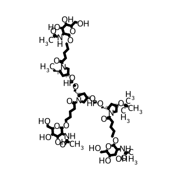 CC[C@@H]1C[C@@H](OPOC[C@@H]2C[C@@H](OPOC[C@@H]3C[C@@H](OC(C)(C)C)CN3C(=O)CCCCOC3OC(CO)C(O)C(O)C3NC(C)=O)CN2C(=O)CCCCOC2OC(CO)C(O)C(O)C2NC(C)=O)CN1C(=O)CCCCOC1OC(CO)C(O)C(O)C1NC(C)=O